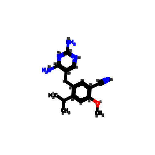 COc1cc(C(C)C)c(Cc2cnc(N)nc2N)cc1C#N